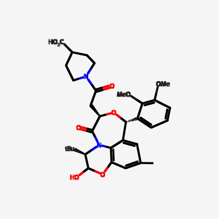 COc1cccc([C@H]2O[C@H](CC(=O)N3CCC(C(=O)O)CC3)C(=O)N3c4c(cc(C)cc42)OC(O)[C@H]3C(C)(C)C)c1OC